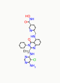 CC[C@H](Nc1ncnc(N)c1Cl)c1nc2cccc(NCc3ccc(C(=O)NO)cn3)c2c(=O)n1-c1ccccc1